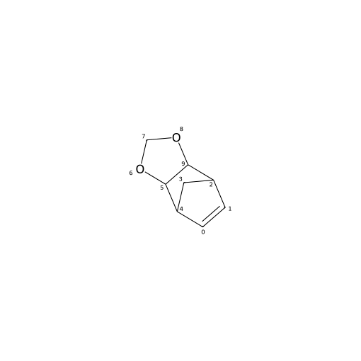 C1=CC2CC1C1OCOC21